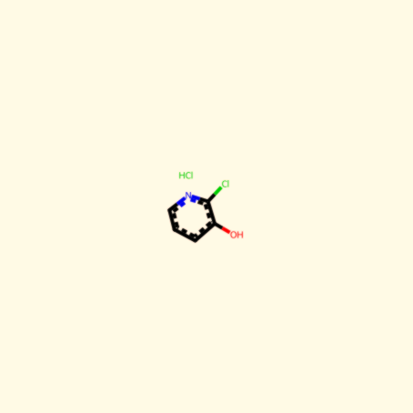 Cl.Oc1cccnc1Cl